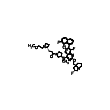 COCCN1CC[C@@H]1CCC(=O)N1CC[C@@H](N(C)c2nc(OC[C@@]34CCCN3C[C@H](F)C4)nc3c(F)c(-c4cccc5ccc(F)c(Cl)c45)ncc23)C1